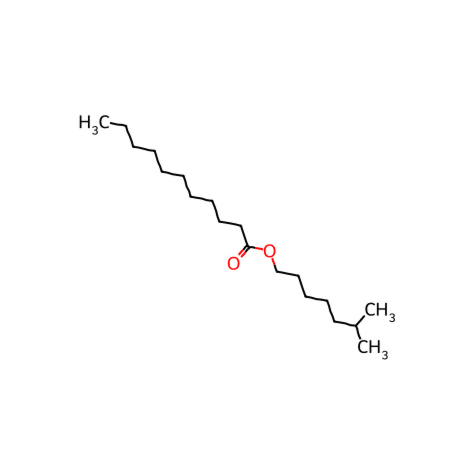 CCCCCCCCCCC(=O)OCCCCCC(C)C